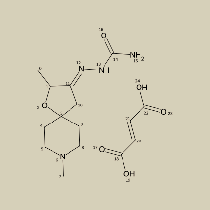 CC1OC2(CCN(C)CC2)CC1=NNC(N)=O.O=C(O)C=CC(=O)O